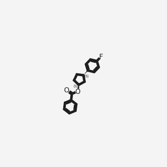 O=C(O[C@H]1CC[C@H](c2ccc(F)cc2)C1)c1ccccc1